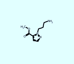 COC(=O)c1ccnn1CCCN